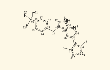 Cc1noc(C)c1-c1cnc2[nH]cc(Cc3ccc(C(F)(F)F)cc3)c2c1